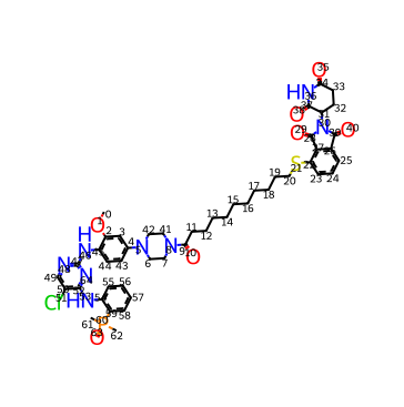 COc1cc(N2CCN(C(=O)CCCCCCCCCCSc3cccc4c3C(=O)N(C3CCC(=O)NC3=O)C4=O)CC2)ccc1Nc1ncc(Cl)c(Nc2ccccc2P(C)(C)=O)n1